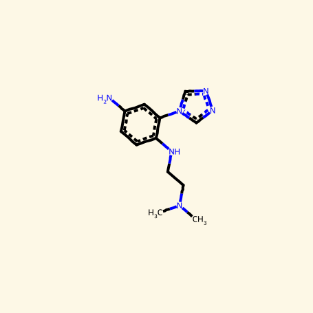 CN(C)CCNc1ccc(N)cc1-n1cnnc1